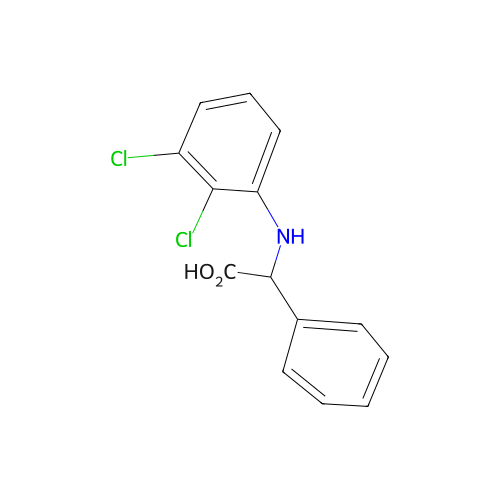 O=C(O)C(Nc1cccc(Cl)c1Cl)c1ccccc1